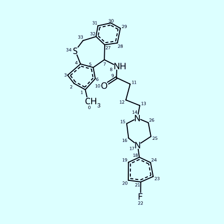 Cc1ccc2c(c1)C(NC(=O)CCCN1CCN(c3ccc(F)cc3)CC1)c1ccccc1CS2